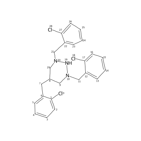 Clc1ccccc1CC1CN(Cc2ccccc2Cl)NN(Cc2ccccc2Cl)C1